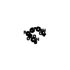 CC(C)(C)OC(=O)NC1CCC(CN2CCN(c3cc(F)cc4c3CN(C3CCC(=O)NC3=O)C4=O)CC2)CC1